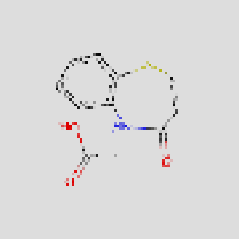 CC(=O)O.O=C1C=CSc2ccccc2N1